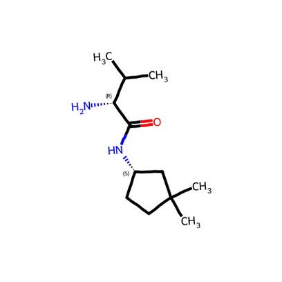 CC(C)[C@@H](N)C(=O)N[C@H]1CCC(C)(C)C1